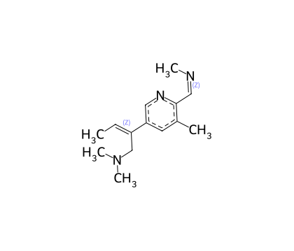 C/C=C(\CN(C)C)c1cnc(/C=N\C)c(C)c1